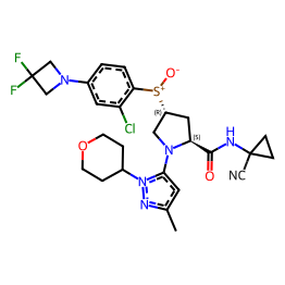 Cc1cc(N2C[C@H]([S+]([O-])c3ccc(N4CC(F)(F)C4)cc3Cl)C[C@H]2C(=O)NC2(C#N)CC2)n(C2CCOCC2)n1